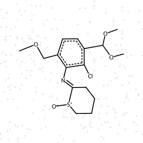 COCc1ccc(C(OC)OC)c(Cl)c1N=C1CCCC[S+]1[O-]